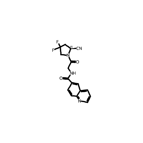 N#C[C@@H]1CC(F)(F)CN1C(=O)CNC(=O)c1ccc2ncccc2c1